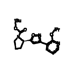 CC(C)Oc1ncccc1-c1cc([C@@H]2CCCN2C(=O)OC(C)(C)C)on1